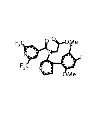 COC(=O)CN(C(=O)c1cc(C(F)(F)F)nc(C(F)(F)F)c1)c1cnccc1-c1cc(F)c(F)cc1OC